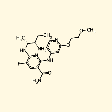 CC[C@H](N)[C@@H](C)Nc1nc(Nc2ccnc(OCCOC)c2)c(C(N)=O)cc1F